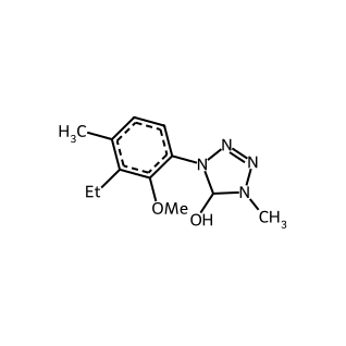 CCc1c(C)ccc(N2N=NN(C)C2O)c1OC